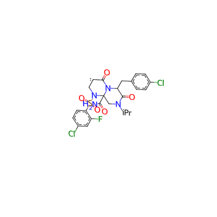 CC(C)N1CC2(C(N)=O)N(C(=O)[C]CN2S(=O)(=O)c2ccc(Cl)cc2F)C(Cc2ccc(Cl)cc2)C1=O